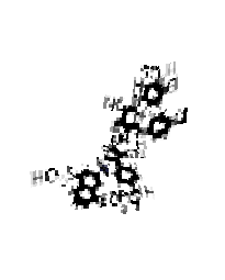 CCCNc1ccc(-c2c(/N=N/c3cc(S(=O)(=O)O)c4cccc(S(=O)(=O)O)c4c3)sc(N=Nc3c(Nc4ccc(Cl)cc4)nc(Nc4ccc(Cl)c(S(=O)(=O)O)c4)c(C#N)c3C)c2C#N)cc1